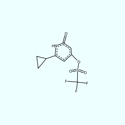 O=c1cc(OS(=O)(=O)C(F)(F)F)cc(C2CC2)[nH]1